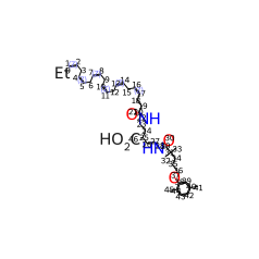 CC/C=C\C/C=C\C/C=C\C/C=C\C/C=C\C/C=C\CCC(=O)NCCC(CCNC(=O)C(C)(C)CCCOc1cc(C)ccc1C)C(=O)O